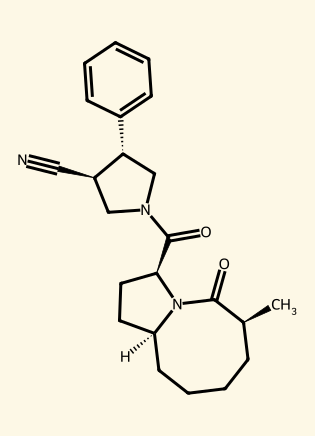 C[C@H]1CCCC[C@H]2CC[C@@H](C(=O)N3C[C@@H](C#N)[C@H](c4ccccc4)C3)N2C1=O